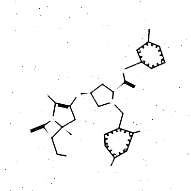 COc1cc(C)ccc1CN1C[C@@H](SC2=C(C(=O)O)N3C(=O)[C@H]([C@@H](C)O)[C@H]3[C@H]2C)C[C@H]1C(=O)Nc1cccc(C(=O)O)c1